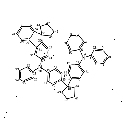 c1ccc(N(c2ccccc2)c2ccc(C3(c4ccc(N(c5ccccc5)c5ccc6c(c5)-c5ccccc5C65CCCC5)cc4)CCCC3)cc2)cc1